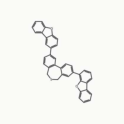 c1ccc2c(c1)oc1ccc(-c3ccc4c(c3)-c3ccc(-c5cccc6c5oc5ccccc56)cc3CSC4)cc12